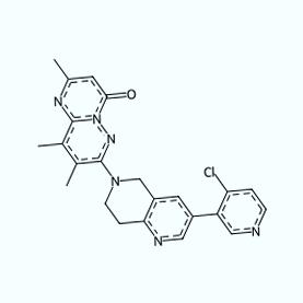 Cc1cc(=O)n2nc(N3CCc4ncc(-c5cnccc5Cl)cc4C3)c(C)c(C)c2n1